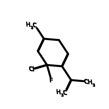 CC1CCC(C(C)C)C(F)(Cl)C1